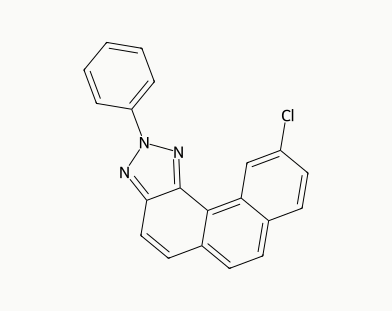 Clc1ccc2ccc3ccc4nn(-c5ccccc5)nc4c3c2c1